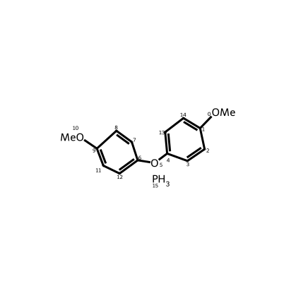 COc1ccc(Oc2ccc(OC)cc2)cc1.P